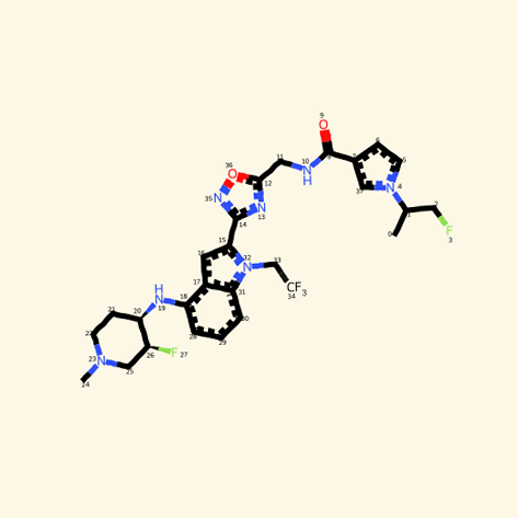 CC(CF)n1ccc(C(=O)NCc2nc(-c3cc4c(N[C@@H]5CCN(C)C[C@@H]5F)cccc4n3CC(F)(F)F)no2)c1